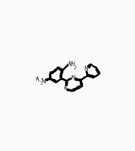 Nc1ccc(N)c(-c2nccc(-c3ccccn3)n2)c1